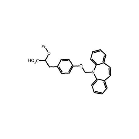 CCOC(Cc1ccc(OCN2c3ccccc3C=Cc3ccccc32)cc1)C(=O)O